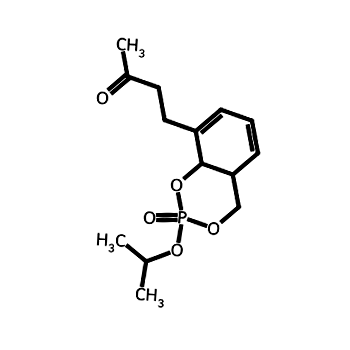 CC(=O)CCC1=CC=CC2COP(=O)(OC(C)C)OC12